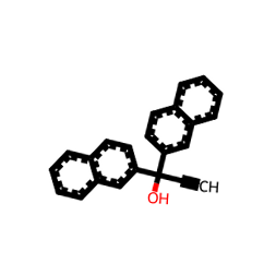 C#CC(O)(c1ccc2ccccc2c1)c1ccc2ccccc2c1